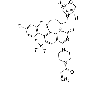 C=CC(=O)N1CCN(c2nc(=O)n3c4c(c(-c5ccc(F)cc5F)c(C(F)(F)F)cc24)SCCC3CN2C[C@@H]3C[C@H]2CO3)CC1